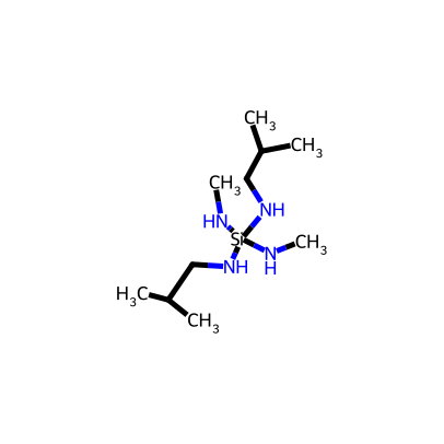 CN[Si](NC)(NCC(C)C)NCC(C)C